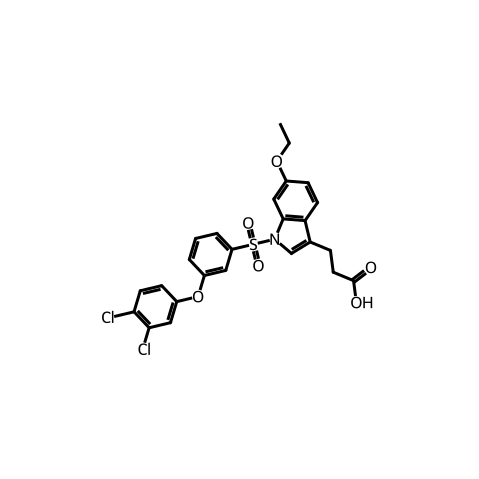 CCOc1ccc2c(CCC(=O)O)cn(S(=O)(=O)c3cccc(Oc4ccc(Cl)c(Cl)c4)c3)c2c1